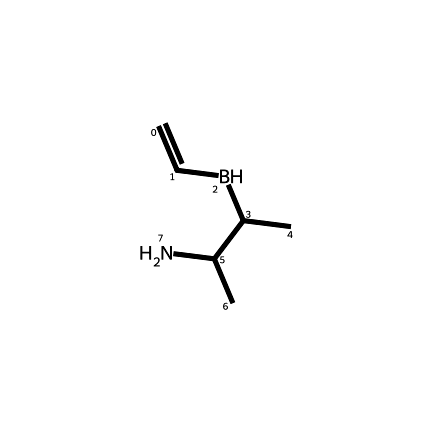 C=CBC(C)C(C)N